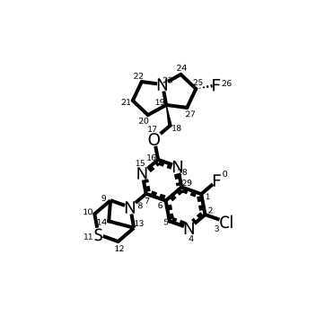 Fc1c(Cl)ncc2c(N3C4CSCC3C4)nc(OC[C@@]34CCCN3C[C@H](F)C4)nc12